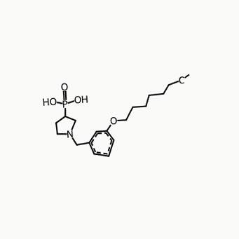 CCCCCCCCOc1cccc(CN2CCC(P(=O)(O)O)C2)c1